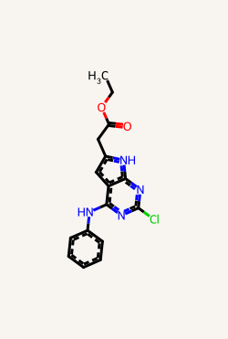 CCOC(=O)Cc1cc2c(Nc3ccccc3)nc(Cl)nc2[nH]1